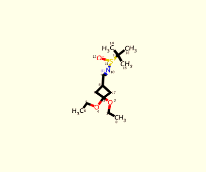 CCOC1(OCC)CC(/C=N/[S+]([O-])C(C)(C)C)C1